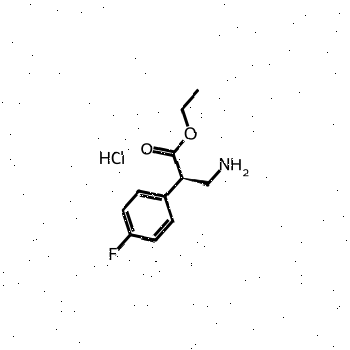 CCOC(=O)[C@@H](CN)c1ccc(F)cc1.Cl